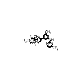 Cc1cc(Nc2nccc(C(F)(F)F)n2)cc(-c2cnc(C(C)(C)C(=O)N(C)C)s2)c1